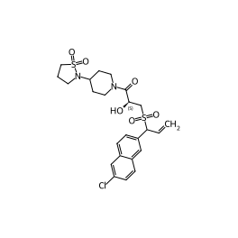 C=CC(c1ccc2cc(Cl)ccc2c1)S(=O)(=O)C[C@@H](O)C(=O)N1CCC(N2CCCS2(=O)=O)CC1